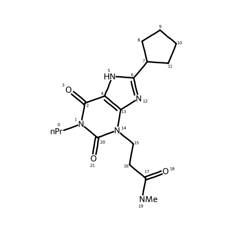 CCCn1c(=O)c2[nH]c(C3CCCC3)nc2n(CCC(=O)NC)c1=O